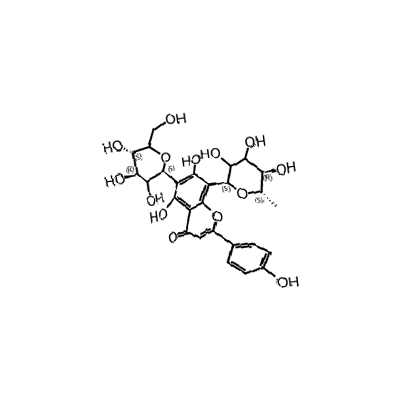 C[C@@H]1O[C@@H](c2c(O)c([C@@H]3OC(CO)[C@@H](O)[C@H](O)C3O)c(O)c3c(=O)cc(-c4ccc(O)cc4)oc23)C(O)C(O)[C@H]1O